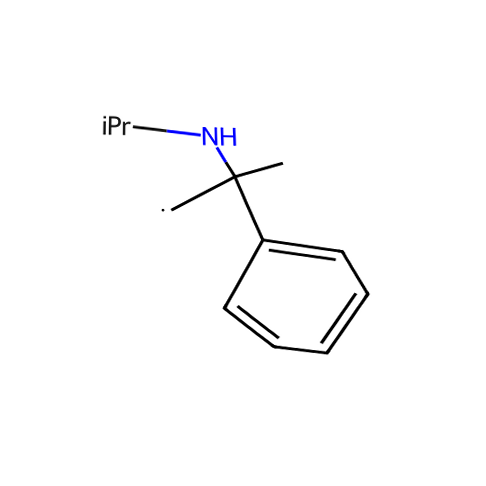 [CH2]C(C)(NC(C)C)c1ccccc1